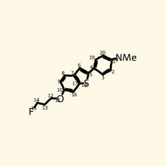 CNc1ccc(-c2cc3ccc(OCCCF)cc3s2)cc1